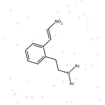 CC(=O)N(CCc1ccccc1/C=C/[N+](=O)[O-])C(C)=O